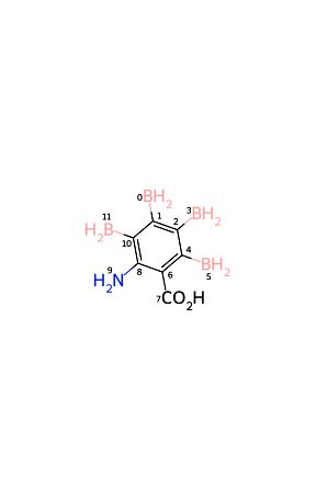 Bc1c(B)c(B)c(C(=O)O)c(N)c1B